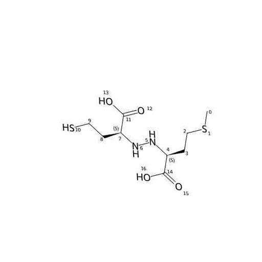 CSCC[C@H](NN[C@@H](CCS)C(=O)O)C(=O)O